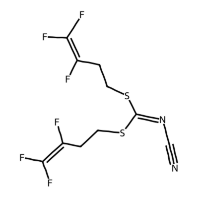 N#CN=C(SCCC(F)=C(F)F)SCCC(F)=C(F)F